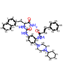 NC(=O)C(Cc1ccc2ccccc2c1)NC(=O)Nc1ccc(N2CCN(C3CCCCC3)CC2)c(NC(=O)C=Cc2ccccc2)c1